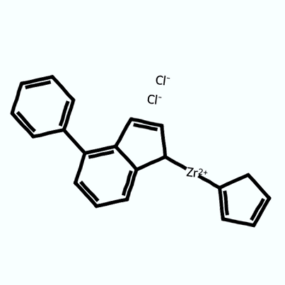 C1=CC[C]([Zr+2][CH]2C=Cc3c(-c4ccccc4)cccc32)=C1.[Cl-].[Cl-]